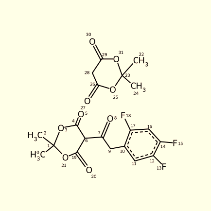 CC1(C)OC(=O)C(C(=O)Cc2cc(F)c(F)cc2F)C(=O)O1.CC1(C)OC(=O)CC(=O)O1